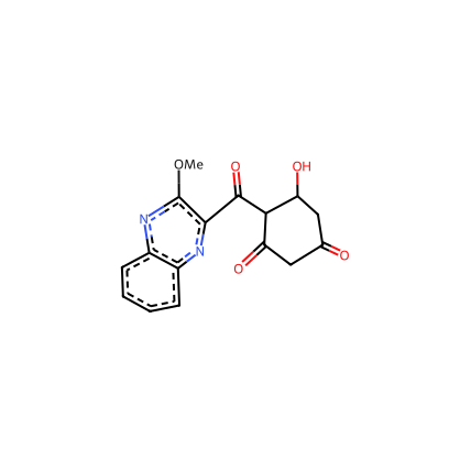 COc1nc2ccccc2nc1C(=O)C1C(=O)CC(=O)CC1O